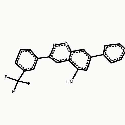 Oc1cc(-c2ccccc2)cc2nnc(-c3cccc(C(F)(F)F)c3)cc12